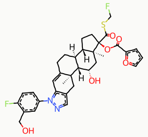 C[C@]12Cc3cnn(-c4ccc(F)c(CO)c4)c3C=C1CC[C@@H]1[C@@H]2[C@@H](O)C[C@@]2(C)[C@H]1CC[C@]2(OC(=O)c1ccco1)C(=O)SCF